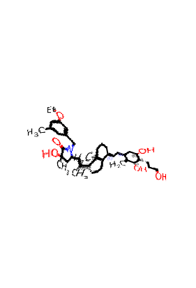 C=C1/C(=C\C=C2/CCC[C@@]3(C)C2CC[C@@H]3[C@H](C)CC2CC(C)(O)C(=O)N2Cc2cc(C)cc(OCC)c2)C[C@@H](O)[C@H](CCCO)[C@@H]1O